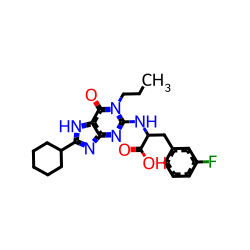 CCCn1c(NC(Cc2cccc(F)c2)C(=O)O)nc2nc(C3CCCCC3)[nH]c2c1=O